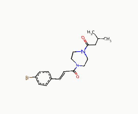 CC(C)CC(=O)N1CCN(C(=O)C=Cc2ccc(Br)cc2)CC1